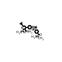 CN(C)C(=O)c1ccc(S(=O)(=O)Nc2ccc(-c3cc(C4CC4)nc4c3c(N)nn4C)cc2)cc1